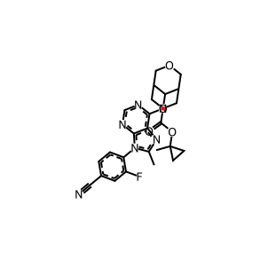 Cc1nc2c(OC3C4COCC3CN(C(=O)OC3(C)CC3)C4)ncnc2n1-c1ccc(C#N)cc1F